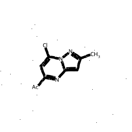 CC(=O)c1cc(Cl)n2nc(C)cc2n1